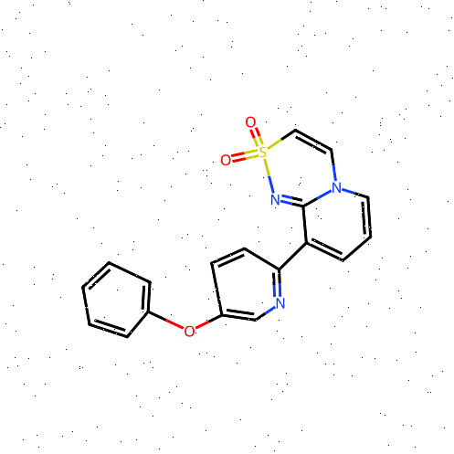 O=S1(=O)C=CN2C=CC=C(c3ccc(Oc4ccccc4)cn3)C2=N1